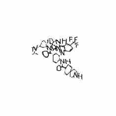 CC(C)N(C)[C@@H]1CC[C@H](N2CC[C@H](Nc3ncnc4ccc(C(F)(F)F)cc34)C2=O)[C@H](NC(=O)[C@H]2CC[C@@H](NC(=O)C3CCC4(CCNCC4)CC3)CC2)C1